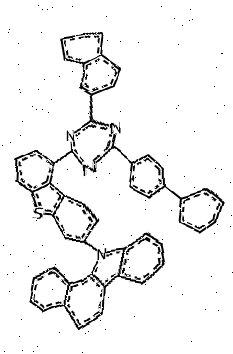 c1ccc(-c2ccc(-c3nc(-c4ccc5ccccc5c4)nc(-c4cccc5sc6cc(-n7c8ccccc8c8ccc9ccccc9c87)ccc6c45)n3)cc2)cc1